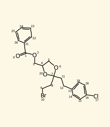 O=C(OCC1COC(CCBr)(CCc2ccc(Cl)cc2)O1)c1ccccc1